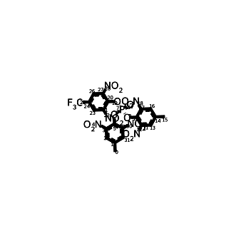 Cc1cc([N+](=O)[O-])c(OP(=O)(Oc2c([N+](=O)[O-])cc(C)cc2[N+](=O)[O-])Oc2c([N+](=O)[O-])cc(C(F)(F)F)cc2[N+](=O)[O-])c([N+](=O)[O-])c1